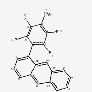 COc1c(F)c(F)c(-c2cccc3cc4ccccc4cc23)c(F)c1F